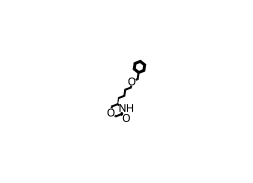 O=C1COC[C@@H](CCCCOCc2ccccc2)N1